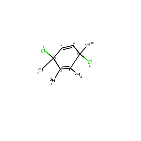 [2H]C1=C([2H])C([2H])(Cl)C=CC1([2H])Cl